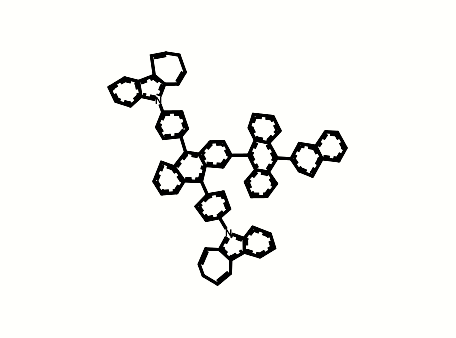 C1=Cc2c(n(-c3ccc(-c4c5ccccc5c(-c5ccc(-n6c7c(c8ccccc86)C=CCC=C7)cc5)c5cc(-c6c7ccccc7c(-c7ccc8ccccc8c7)c7ccccc67)ccc45)cc3)c3ccccc23)C=CC1